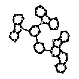 c1cc(-c2cc(-n3c4ccccc4c4ccccc43)cc(-n3c4ccccc4c4ccccc43)c2)cc(-c2nc3c4ccccc4ccc3c3c2sc2ccccc23)c1